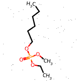 CCCCCCOP(=O)(OC)OCC